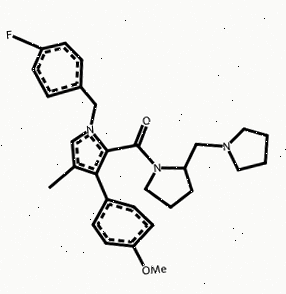 COc1ccc(-c2c(C)cn(Cc3ccc(F)cc3)c2C(=O)N2CCCC2CN2CCCC2)cc1